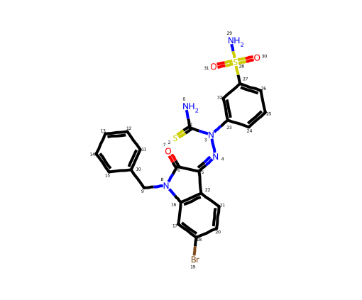 NC(=S)N(/N=C1\C(=O)N(Cc2ccccc2)c2cc(Br)ccc21)c1cccc(S(N)(=O)=O)c1